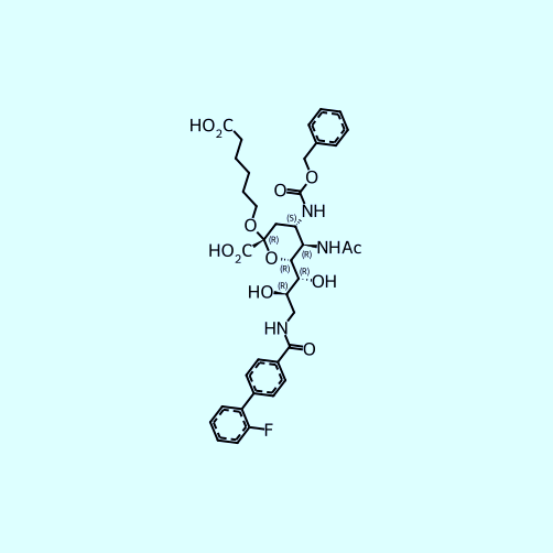 CC(=O)N[C@H]1[C@H]([C@H](O)[C@H](O)CNC(=O)c2ccc(-c3ccccc3F)cc2)O[C@@](OCCCCCC(=O)O)(C(=O)O)C[C@@H]1NC(=O)OCc1ccccc1